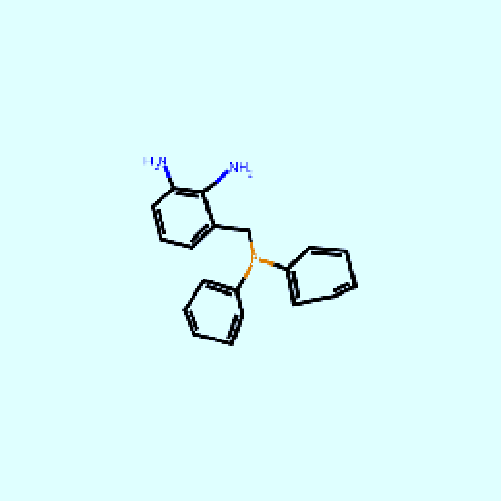 Nc1cccc(CP(c2ccccc2)c2ccccc2)c1N